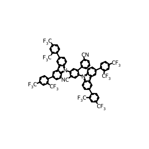 N#Cc1cccc(-c2cc(-n3c4ccc(-c5ccc(C(F)(F)F)cc5C(F)(F)F)cc4c4cc(-c5ccc(C(F)(F)F)cc5C(F)(F)F)ccc43)c(C#N)cc2-n2c3ccc(-c4ccc(C(F)(F)F)cc4C(F)(F)F)cc3c3cc(-c4ccc(C(F)(F)F)cc4C(F)(F)F)ccc32)c1